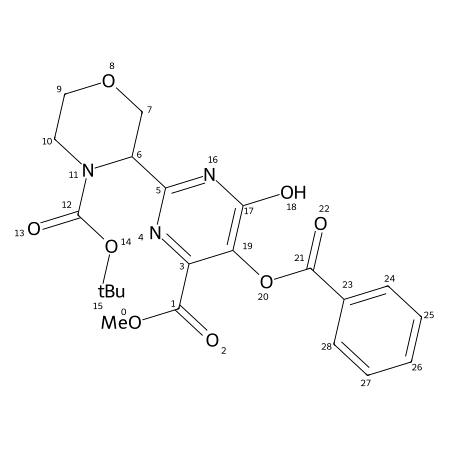 COC(=O)c1nc(C2COCCN2C(=O)OC(C)(C)C)nc(O)c1OC(=O)c1ccccc1